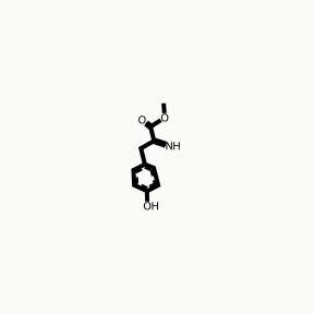 COC(=O)C(=N)Cc1ccc(O)cc1